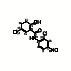 O=Nc1ccc(NC(=O)C2=C(O)CCC(Cl)=C2)c(Cl)c1